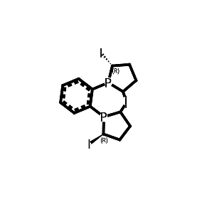 IC1CC[C@@H](I)P1c1ccccc1P1C(I)CC[C@H]1I